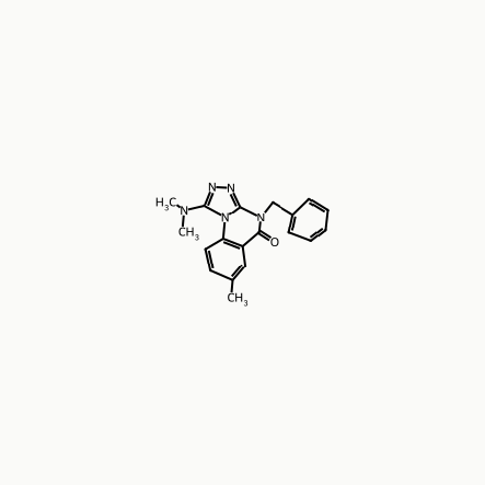 Cc1ccc2c(c1)c(=O)n(Cc1ccccc1)c1nnc(N(C)C)n21